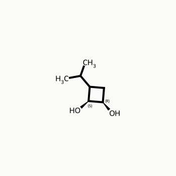 CC(C)C1C[C@@H](O)[C@H]1O